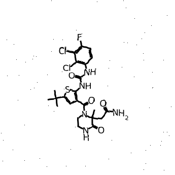 CC(C)(C)c1cc(C(=O)N2CCNC(=O)C2(C)CC(N)=O)c(NC(=O)Nc2ccc(F)c(Cl)c2Cl)s1